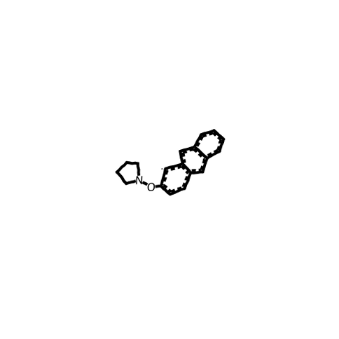 [c]1c(ON2CCCC2)ccc2cc3ccccc3cc12